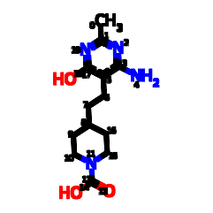 Cc1nc(N)c(CCC2CCN(C(=O)O)CC2)c(O)n1